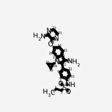 CCCS(=O)(=O)Nc1ccc(-c2c(N)c3ccc(Oc4nccnc4N)cc3n2C2CC2)cc1